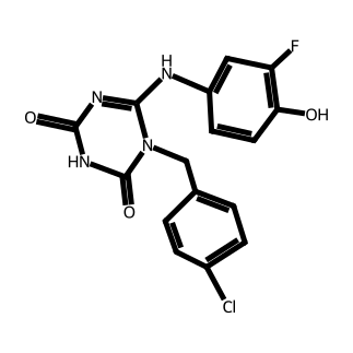 O=c1nc(Nc2ccc(O)c(F)c2)n(Cc2ccc(Cl)cc2)c(=O)[nH]1